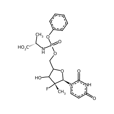 C[C@H](NP(=O)(OCC1O[C@@H](n2ccc(=O)[nH]c2=O)[C@](C)(F)C1O)Oc1ccccc1)C(=O)O